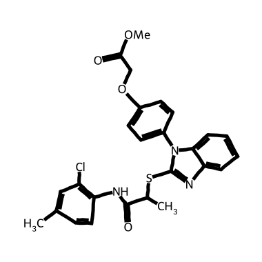 COC(=O)COc1ccc(-n2c(SC(C)C(=O)Nc3ccc(C)cc3Cl)nc3ccccc32)cc1